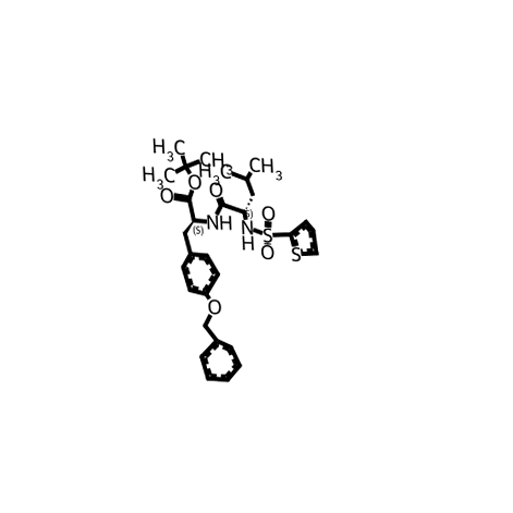 CC(C)C[C@H](NS(=O)(=O)c1cccs1)C(=O)N[C@@H](Cc1ccc(OCc2ccccc2)cc1)C(=O)OC(C)(C)C